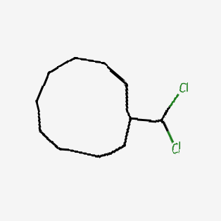 ClC(Cl)C1CCCCCCCCC1